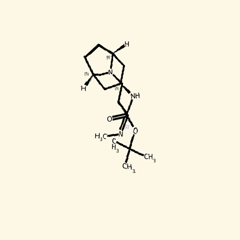 C/N=C\CCN1[C@@H]2CC[C@H]1C[C@H](NC(=O)OC(C)(C)C)C2